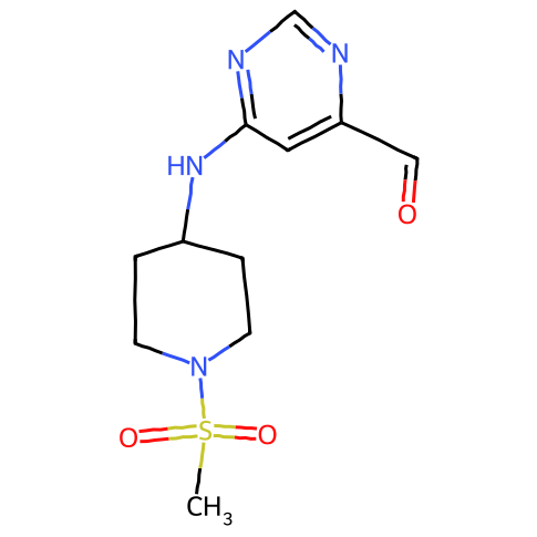 CS(=O)(=O)N1CCC(Nc2cc(C=O)ncn2)CC1